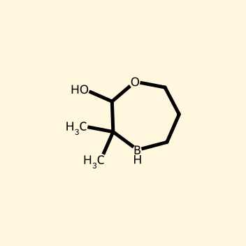 CC1(C)BCCCOC1O